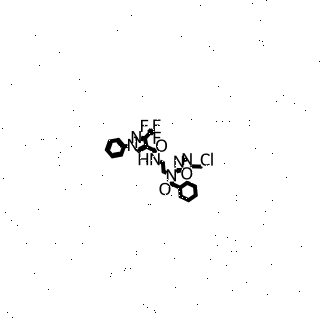 O=C(NCCN(C(=O)C1CCCCC1)c1nnc(CCl)o1)c1cn(-c2ccccc2)nc1C(F)(F)F